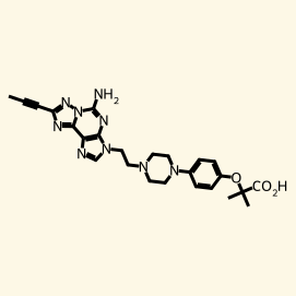 CC#Cc1nc2c3ncn(CCN4CCN(c5ccc(OC(C)(C)C(=O)O)cc5)CC4)c3nc(N)n2n1